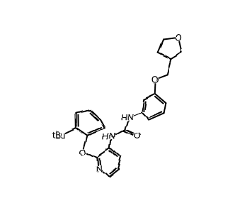 CC(C)(C)c1ccccc1Oc1ncccc1NC(=O)Nc1cccc(OCC2CCOC2)c1